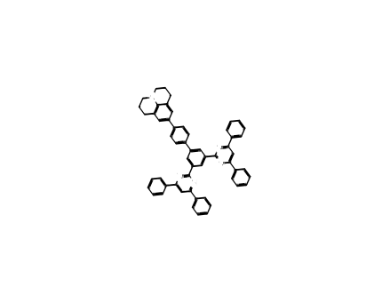 c1ccc(-c2cc(-c3ccccc3)nc(-c3cc(-c4ccc(-c5cc6c7c(c5)CCCN7CCC6)cc4)cc(-c4nc(-c5ccccc5)cc(-c5ccccc5)n4)c3)n2)cc1